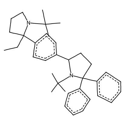 CCC1(c2ccc(C3CCC(c4ccccc4)(c4ccccc4)N3C(C)(C)C)cc2)CCCN1C(C)(C)C